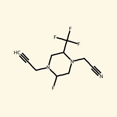 C#CCN1CC(C(F)(F)F)N(CC#N)CC1F